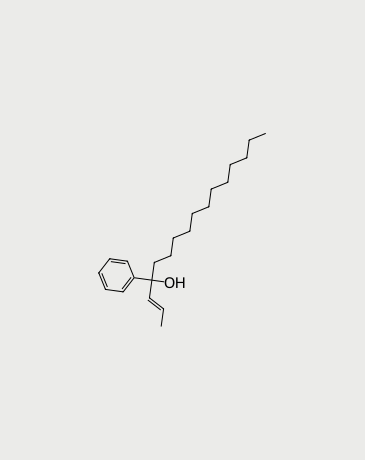 CC=CC(O)(CCCCCCCCCCCC)c1ccccc1